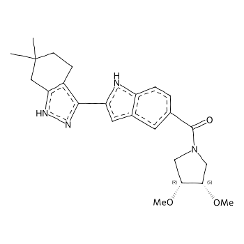 CO[C@H]1CN(C(=O)c2ccc3[nH]c(-c4n[nH]c5c4CCC(C)(C)C5)cc3c2)C[C@H]1OC